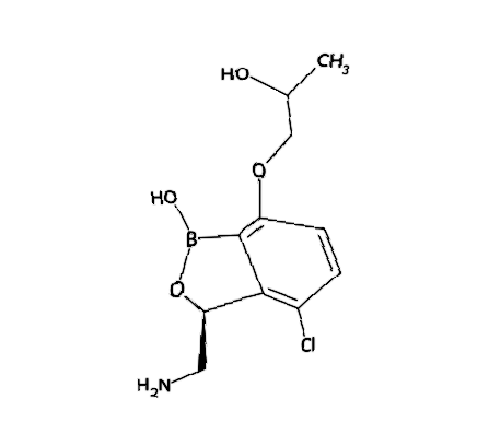 CC(O)COc1ccc(Cl)c2c1B(O)O[C@@H]2CN